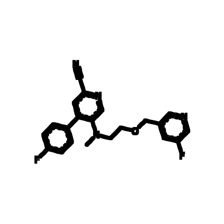 CN(CCOCc1cncc(F)c1)c1cnc(C#N)cc1-c1ccc(F)cc1